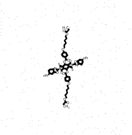 C=CC(=O)OCCCCCCOc1ccc(C(=O)Oc2c3c(=O)n(-c4nc5ccc(CCC)cc5o4)c(=S)c3c(OC(=O)c3ccc(OCCCCCCOC(=O)C=C)cc3)c3c(=O)n(-c4nc5ccc(CCC)cc5o4)c(=S)c23)cc1